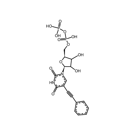 O=c1[nH]c(=O)n([C@H]2O[C@@H](COP(=O)(O)OP(=O)(O)O)C(O)C2O)cc1C#Cc1ccccc1